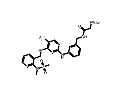 CC(=O)NCC(=O)NCc1cccc(Nc2ncc(C(F)(F)F)c(NCc3cccnc3N(C)S(C)(=O)=O)n2)c1